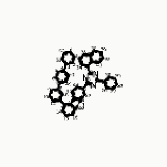 c1ccc(-c2ccc(-c3cccc(-c4cccc5oc6cc(-c7nc(-c8ccccc8)nc(-c8cccc9ccccc89)n7)ccc6c45)c3)cc2)cc1